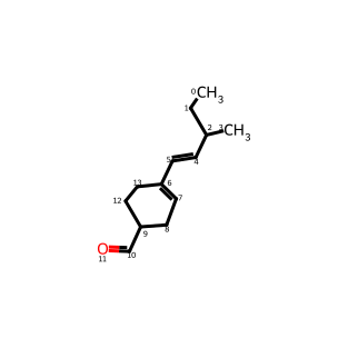 CCC(C)C=CC1=CCC(C=O)CC1